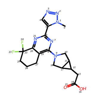 Cn1nncc1-c1nc(N2CC3C(CC(=O)O)C3C2)c2c(n1)C(F)(F)CCC2